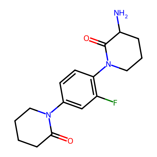 NC1CCCN(c2ccc(N3CCCCC3=O)cc2F)C1=O